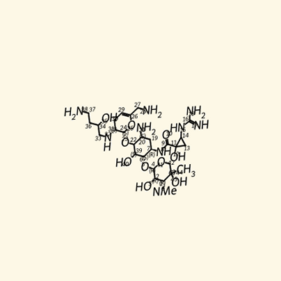 CN[C@@H]1[C@@H](O)[C@@H](O[C@H]2[C@H](NC(=O)C3(O)CC3NC(=N)N)C[C@H](N)C(O[C@H]3OC(CN)=CC[C@H]3NCC(O)CCN)[C@@H]2O)OC[C@]1(C)O